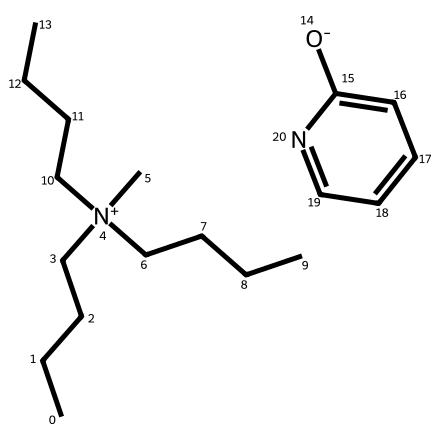 CCCC[N+](C)(CCCC)CCCC.[O-]c1ccccn1